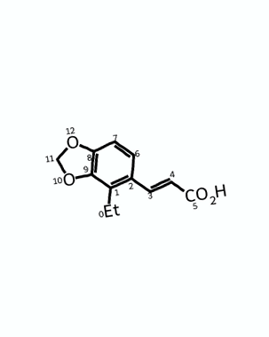 CCc1c(C=CC(=O)O)ccc2c1OCO2